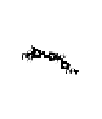 CCCc1ccc(C(F)(F)Oc2ccc(CCc3cc(F)c(OC(F)F)c(F)c3)cc2)cc1